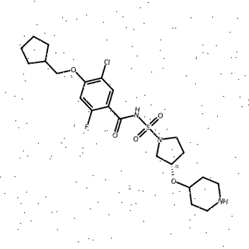 O=C(NS(=O)(=O)N1CC[C@H](OC2CCNCC2)C1)c1cc(Cl)c(OCC2CCCC2)cc1F